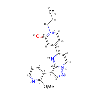 COc1ncccc1-c1cnn2ccc(-c3ccn(CCC(F)(F)F)c(=O)c3)nc12